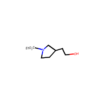 CCOC(=O)N1CCC(CCO)C1